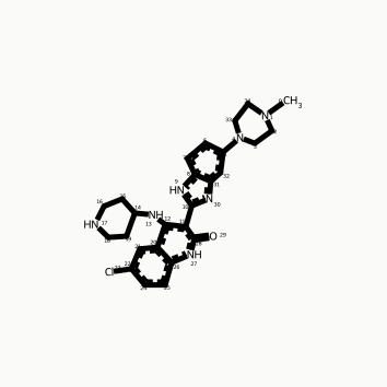 CN1CCN(c2ccc3[nH]c(-c4c(NC5CCNCC5)c5cc(Cl)ccc5[nH]c4=O)nc3c2)CC1